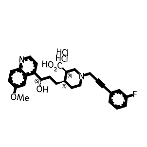 COc1ccc2nccc([C@@H](O)CC[C@@H]3CCN(CC#Cc4cccc(F)c4)C[C@@H]3C(=O)O)c2c1.Cl.Cl